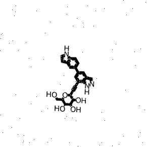 OCC1OC(C#Cc2cc(-c3ccc4[nH]ccc4c3)cc3cn[nH]c23)C(O)C(O)[C@@H]1O